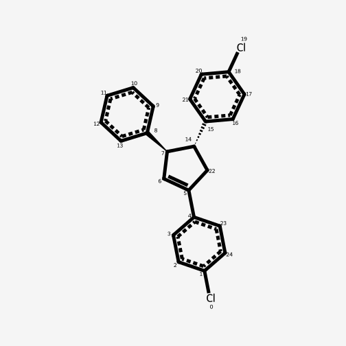 Clc1ccc(C2=C[C@@H](c3ccccc3)[C@H](c3ccc(Cl)cc3)C2)cc1